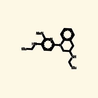 CNc1nc(N2CC(NCC(C)(C)C)Cc3ccccc32)ccc1NCC(C)(C)C